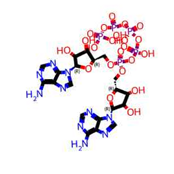 Nc1ncnc2c1ncn2[C@@H]1O[C@H](COP(=O)(OC[C@H]2O[C@@H](n3cnc4c(N)ncnc43)C(O)C2O)OP(=O)(O)OP(=O)(O)OP(=O)(O)OP(=O)(O)O)C(O)C1O